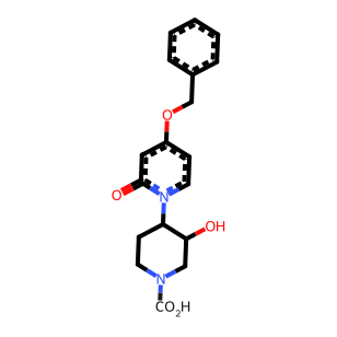 O=C(O)N1CCC(n2ccc(OCc3ccccc3)cc2=O)C(O)C1